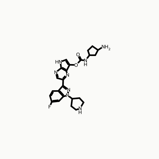 NC1CCC(NC(=O)Oc2c[nH]c3ncc(-c4nn(C5CCNCC5)c5cc(F)ccc45)nc23)C1